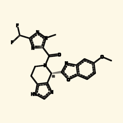 COc1ccc2oc([C@@H]3c4nc[nH]c4CCN3C(=O)c3nc(C(F)F)nn3C)nc2c1